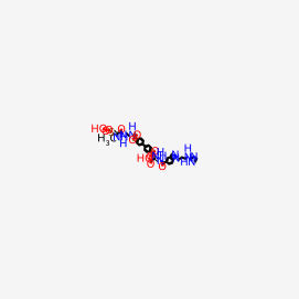 CN[C@@H](CSOOO)C(=O)NCCNS(=O)(=O)c1ccc(-c2ccc(S(=O)(=O)N[C@@H](CNC(=O)c3ccc4c(cnn4CCCNc4ncc[nH]4)c3)C(=O)O)cc2)cc1